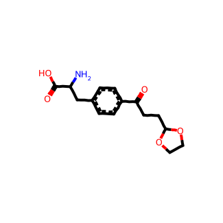 NC(Cc1ccc(C(=O)CCC2OCCO2)cc1)C(=O)O